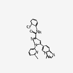 Cc1cccc(-n2nc(C(=O)Nc3ccccc3Cl)cc2-c2ccc3ncnn3c2)n1